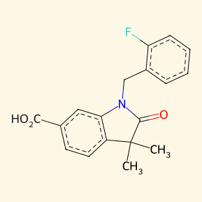 CC1(C)C(=O)N(Cc2ccccc2F)c2cc(C(=O)O)ccc21